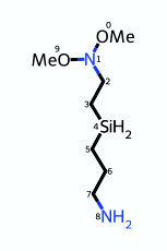 CON(CC[SiH2]CCCN)OC